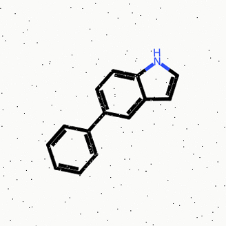 [c]1cccc(-c2ccc3[nH]ccc3c2)c1